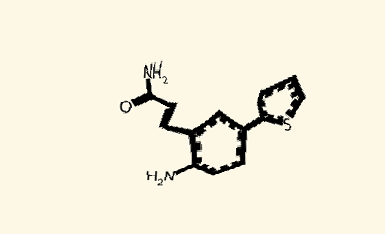 NC(=O)C=Cc1cc(-c2cccs2)ccc1N